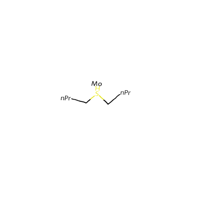 CCCC[SH]([Mo])CCCC